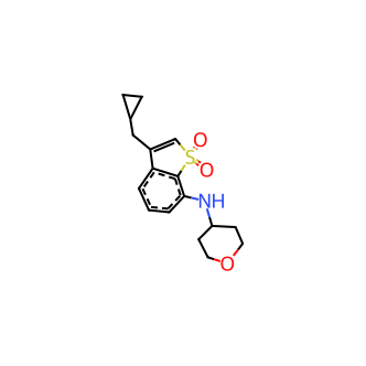 O=S1(=O)C=C(CC2CC2)c2cccc(NC3CCOCC3)c21